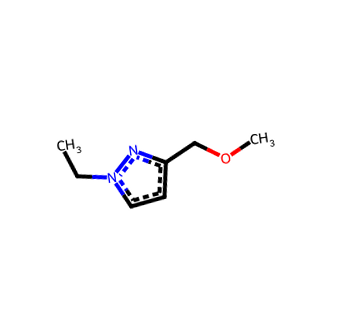 CCn1ccc(COC)n1